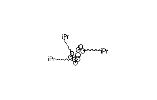 CC(C)CCCCCCCCCOC(=O)OC1CCC(OC(=O)OCCCCCCCCCC(C)C)C(OC(=O)OCCCCCCCCCC(C)C)C1